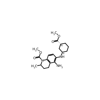 COC(=O)[C@@H]1CCC[C@@H](Nc2ccc3c(c2N)CCC(C)N3C(=O)OC)C1